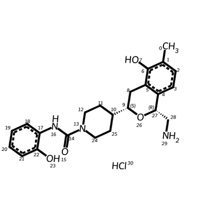 Cc1ccc2c(c1O)C[C@@H](C1CCN(C(=O)Nc3ccccc3O)CC1)O[C@H]2CN.Cl